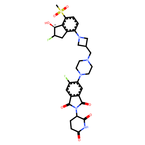 CS(=O)(=O)c1ccc(N2CC(CN3CCN(c4cc5c(cc4F)C(=O)N(C4CCC(=O)NC4=O)C5=O)CC3)C2)c2c1[C@H](O)C(F)C2